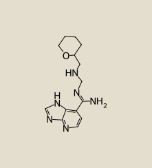 NC(=NCNCC1CCCCO1)c1ccnc2nc[nH]c12